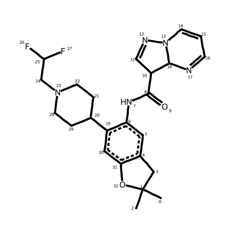 CC1(C)Cc2cc(NC(=O)C3C=NN4C=CC=NC34)c(C3CCN(CC(F)F)CC3)cc2O1